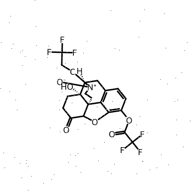 O=C1CC[C@@]2(O)[C@H]3Cc4ccc(OC(=O)C(F)(F)F)c5c4[C@@]2(CC[N+]3([O-])CCC(F)(F)F)C1O5